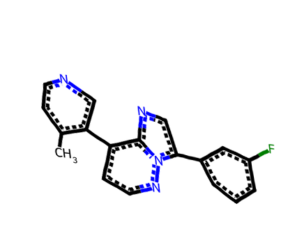 Cc1ccncc1-c1ccnn2c(-c3cccc(F)c3)cnc12